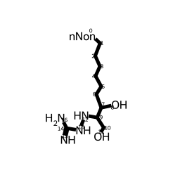 CCCCCCCCCCCCCCCC(O)C(CO)NNC(=N)N